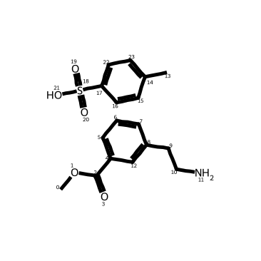 COC(=O)c1cccc(CCN)c1.Cc1ccc(S(=O)(=O)O)cc1